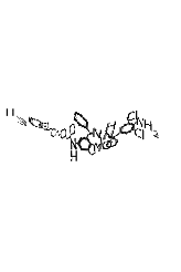 COCCOCCOCC(=O)Nc1cc2c3c(c1)C(c1ccccc1)=N[C@@H](NC(=O)c1cc(Cl)c(N)c(Cl)c1)C(=O)N3CC2